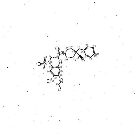 C=S(C)(=O)N1CC(C(=O)N2CCC(C#N)(Cc3ccc(F)cc3)CC2)Oc2cc(OCC)c(Cl)cc21